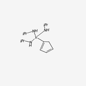 CC(C)[NH][V]([NH]C(C)C)([NH]C(C)C)[C]1=CC=CC1